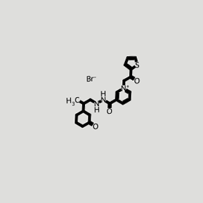 CC(CNNC(=O)c1ccc[n+](CC(=O)c2cccs2)c1)C1CCCC(=O)C1.[Br-]